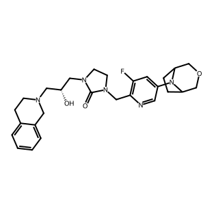 O=C1N(Cc2ncc(N3C4CCC3COC4)cc2F)CCN1C[C@H](O)CN1CCc2ccccc2C1